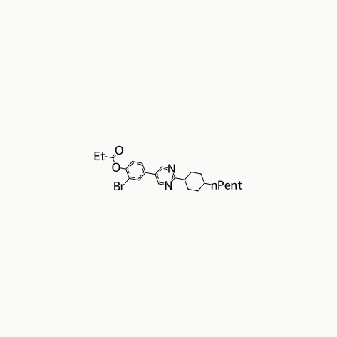 CCCCCC1CCC(c2ncc(-c3ccc(OC(=O)CC)c(Br)c3)cn2)CC1